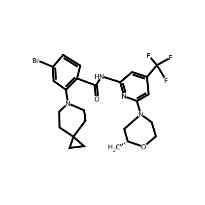 C[C@@H]1CN(c2cc(C(F)(F)F)cc(NC(=O)c3ccc(Br)cc3N3CCC4(CC3)CC4)n2)CCO1